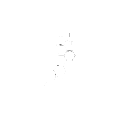 CCCN1CCC(c2cccc(C(=O)C(F)(F)F)c2C)CC1